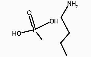 CCCCN.CP(=O)(O)O